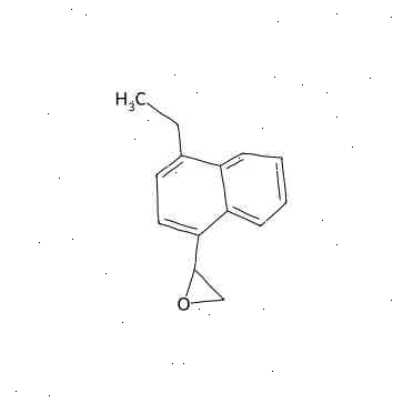 CCc1ccc(C2CO2)c2ccccc12